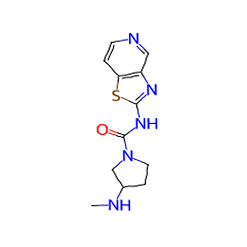 CNC1CCN(C(=O)Nc2nc3cnccc3s2)C1